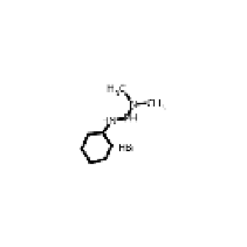 Br.CN(C)PNC1CCCCC1